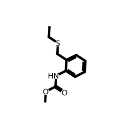 CCSCc1ccccc1NC(=O)OC